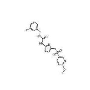 COc1ccc(S(=O)(=O)Cc2csc(NC(=O)NCc3cccc(F)c3)n2)cn1